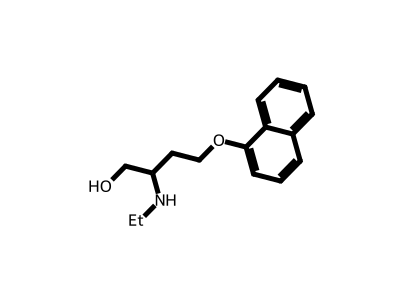 CCNC(CO)CCOc1cccc2ccccc12